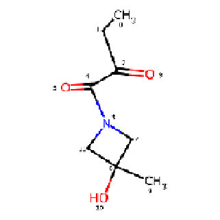 CCC(=O)C(=O)N1CC(C)(O)C1